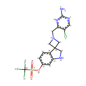 Nc1ncc(Cl)c(CN2CC3(CNc4cc(OS(=O)(=O)C(F)(F)F)ccc43)C2)n1